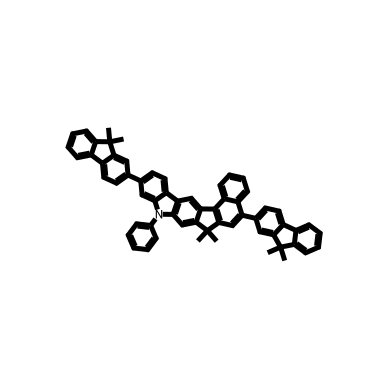 CC1(C)c2ccccc2-c2ccc(-c3ccc4c5cc6c(cc5n(-c5ccccc5)c4c3)C(C)(C)c3cc(-c4ccc5c(c4)C(C)(C)c4ccccc4-5)c4ccccc4c3-6)cc21